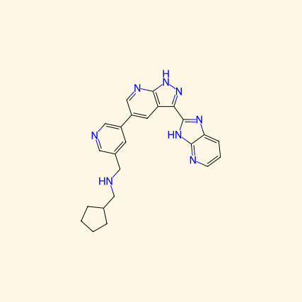 c1cnc2[nH]c(-c3n[nH]c4ncc(-c5cncc(CNCC6CCCC6)c5)cc34)nc2c1